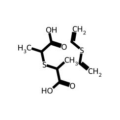 C=CSC=C.CC(SC(C)C(=O)O)C(=O)O